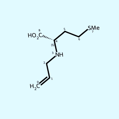 C=CCN[C@@H](CCSC)C(=O)O